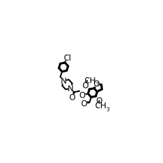 COc1c(C=O)c(OCC(=O)N2CCN(Cc3ccc(Cl)cc3)CC2)c(OC)c2occc12